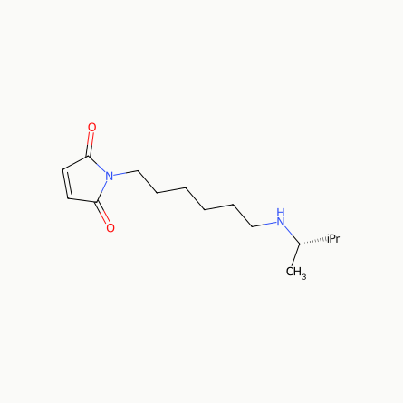 CC(C)[C@H](C)NCCCCCCN1C(=O)C=CC1=O